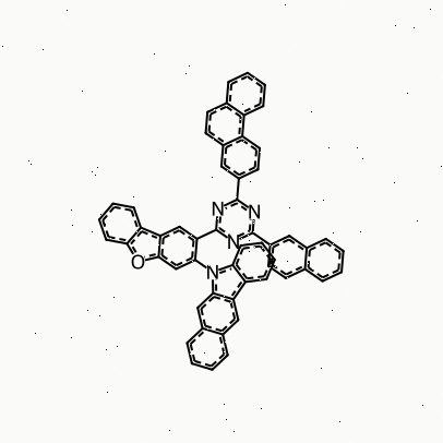 c1ccc2cc(-c3nc(-c4ccc5c(ccc6ccccc65)c4)nc(-c4cc5c(cc4-n4c6ccccc6c6cc7ccccc7cc64)oc4ccccc45)n3)ccc2c1